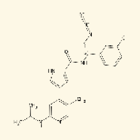 Cc1cnc(NC(C)C)cc1-c1c[nH]c(C(=O)N[C@H](CN=[N+]=[N-])c2cccc(Cl)c2)c1